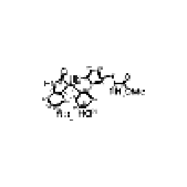 COC(=O)C(N)Cc1ccc(N/C(=C2\C(=O)Nc3ccc([N+](=O)[O-])cc32)c2ccccc2)cc1.Cl